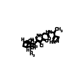 CC(NC(=O)Cn1ncc(N[C@@H]2C[C@@H]3C[C@H]([C@H]2C)C3(C)C)c(Cl)c1=O)c1cn[nH]c1